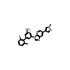 Cn1cc(-c2cnc3c(c2)ncn3-c2cc(N)cc(-c3c(F)cccc3F)c2)cn1